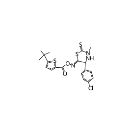 CN1NC(c2ccc(Cl)cc2)C(=NOC(=O)c2ccc(C(C)(C)C)s2)SC1=S